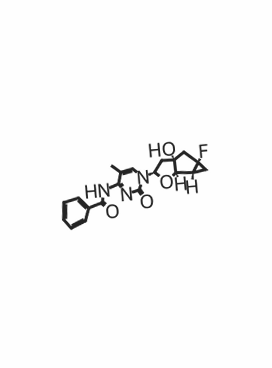 Cc1cn([C@H]2C[C@@]3(O)C[C@]4(F)C[C@@H]4[C@H]3O2)c(=O)nc1NC(=O)c1ccccc1